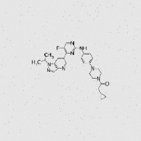 CC(C)n1ncc2ncc(-c3nc(Nc4ccc(N5CCN(C(=O)CC6CC6)CC5)cc4)ncc3F)cc21